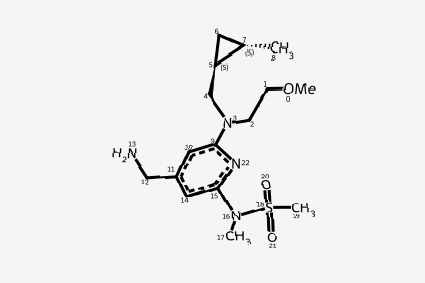 COCCN(C[C@H]1C[C@@H]1C)c1cc(CN)cc(N(C)S(C)(=O)=O)n1